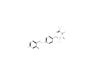 CC(C(N)=O)N(C)NCc1ccc(OCc2ccccc2F)cc1